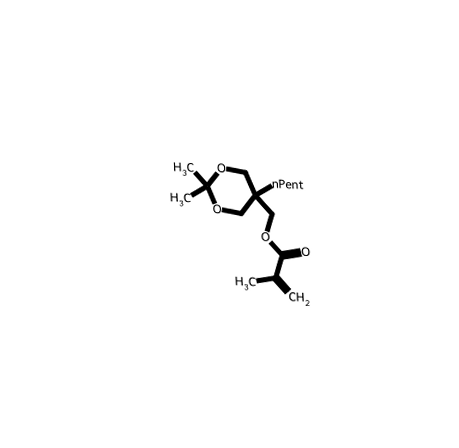 C=C(C)C(=O)OCC1(CCCCC)COC(C)(C)OC1